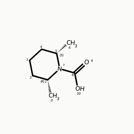 C[C@@H]1CCC[C@H](C)N1C(=O)O